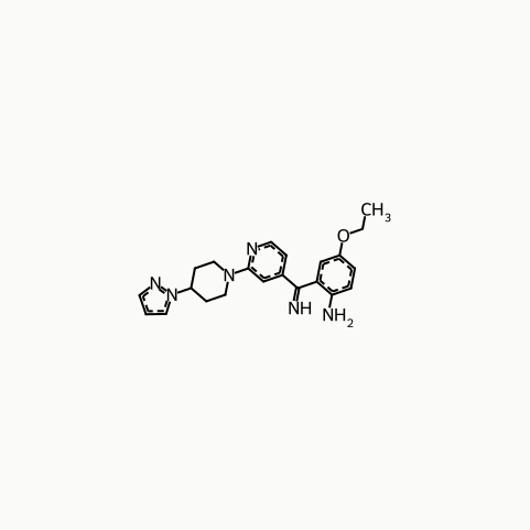 CCOc1ccc(N)c(C(=N)c2ccnc(N3CCC(n4cccn4)CC3)c2)c1